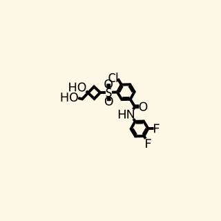 O=C(Nc1ccc(F)c(F)c1)c1ccc(Cl)c(S(=O)(=O)C2CC(O)(CO)C2)c1